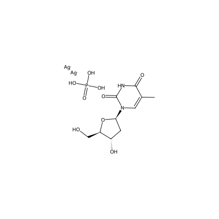 Cc1cn([C@H]2C[C@H](O)[C@@H](CO)O2)c(=O)[nH]c1=O.O=P(O)(O)O.[Ag].[Ag]